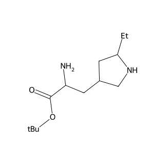 CCC1CC(CC(N)C(=O)OC(C)(C)C)CN1